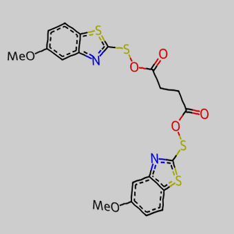 COc1ccc2sc(SOC(=O)CCC(=O)OSc3nc4cc(OC)ccc4s3)nc2c1